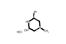 CC(C)[C@H]1CN(C)CCN1.Cl.Cl